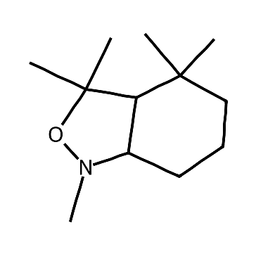 CN1OC(C)(C)C2C1CCCC2(C)C